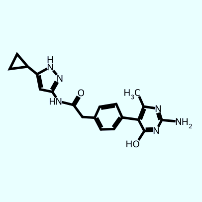 Cc1nc(N)nc(O)c1-c1ccc(CC(=O)Nc2cc(C3CC3)[nH]n2)cc1